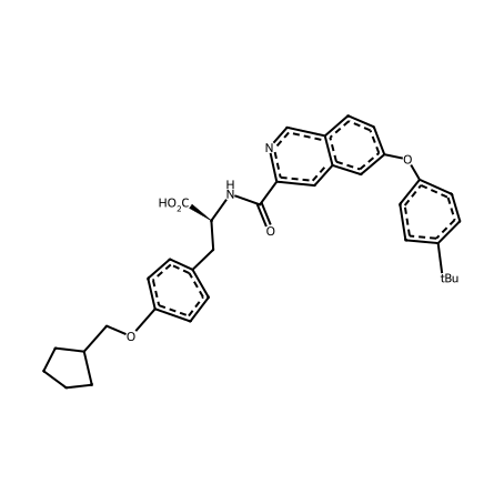 CC(C)(C)c1ccc(Oc2ccc3cnc(C(=O)N[C@@H](Cc4ccc(OCC5CCCC5)cc4)C(=O)O)cc3c2)cc1